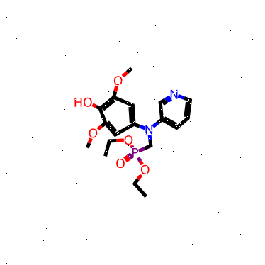 CCOP(=O)(CN(c1cccnc1)c1cc(OC)c(O)c(OC)c1)OCC